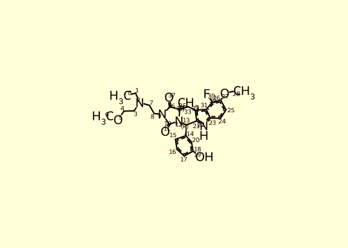 CCN(CCOC)CCN1C(=O)N2[C@H](c3cccc(O)c3)c3[nH]c4ccc(OC)c(F)c4c3C[C@@]2(C)C1=O